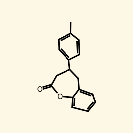 Cc1ccc(C2CC(=O)Oc3ccccc3C2)cc1